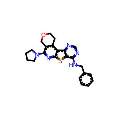 c1ccc(CNc2ncnc3c2sc2nc(N4CCCC4)c4c(c23)CCOC4)cc1